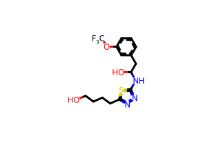 OCCCCc1nnc(NC(O)Cc2cccc(OC(F)(F)F)c2)s1